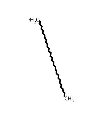 [CH2]C=CCCCCCCCCCCCCCCCCCCCCCCCCCCCCCCCCC